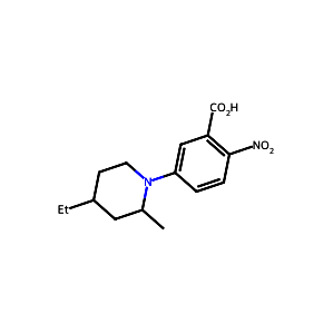 CCC1CCN(c2ccc([N+](=O)[O-])c(C(=O)O)c2)C(C)C1